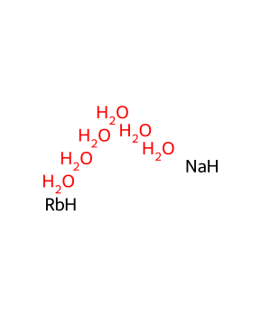 O.O.O.O.O.O.[NaH].[RbH]